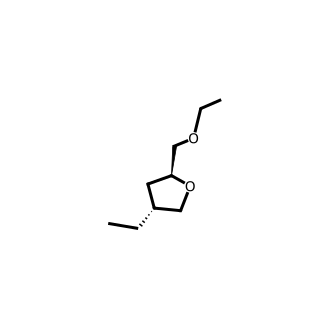 CCOC[C@@H]1C[C@@H](CC)CO1